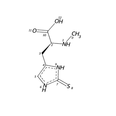 CN[C@@H](Cc1c[nH]c(=S)[nH]1)C(=O)O